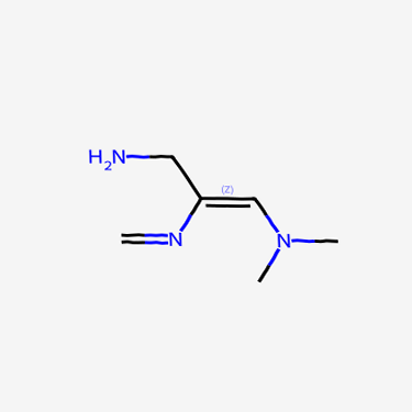 C=N/C(=C\N(C)C)CN